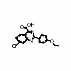 CCOc1ccc(-c2nc(C(=O)O)c3ccc(Cl)cc3n2)cc1